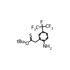 CC(C)(C)OC(=S)Cc1cc(C(F)(C(F)(F)F)C(F)(F)F)ccc1N